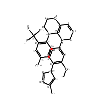 COc1cc(N2CN=CC3=C2N(c2ccc(Cl)cc2C(F)(F)F)CCO3)ccc1-n1cnc(C)c1